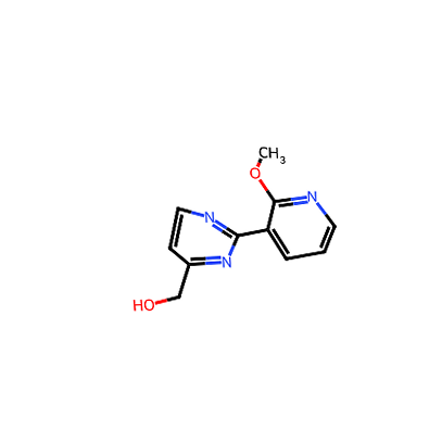 COc1ncccc1-c1nccc(CO)n1